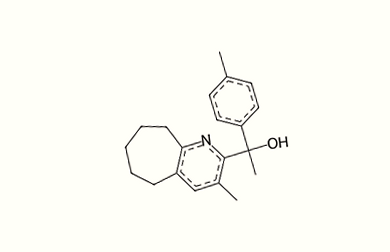 Cc1ccc(C(C)(O)c2nc3c(cc2C)CCCCC3)cc1